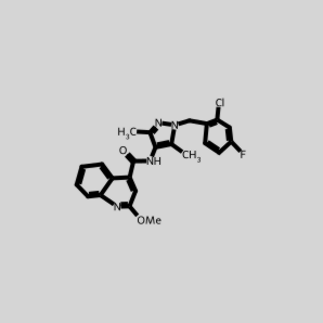 COc1cc(C(=O)Nc2c(C)nn(Cc3ccc(F)cc3Cl)c2C)c2ccccc2n1